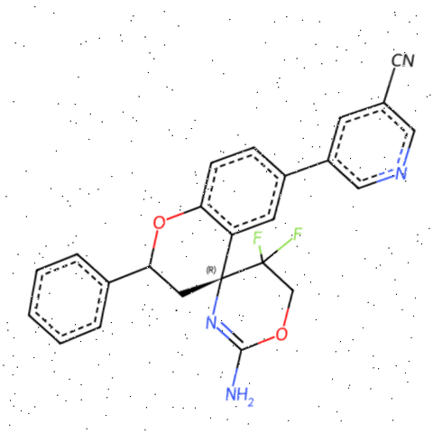 N#Cc1cncc(-c2ccc3c(c2)[C@@]2(CC(c4ccccc4)O3)N=C(N)OCC2(F)F)c1